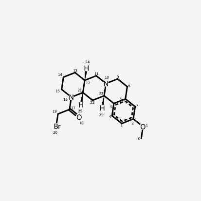 COc1ccc2c(c1)CCN1C[C@H]3CCCN(C(=O)CBr)[C@H]3C[C@@H]21